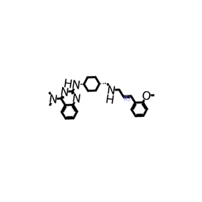 COc1ccccc1/C=C/CNC[C@H]1CC[C@@H](Nc2nc(N(C)C)c3ccccc3n2)CC1